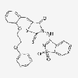 O=C1/C(=C/c2ccccc2OCCOc2ccccc2)SC(=S)N1NC1=NS(=O)(=O)c2ccccc21